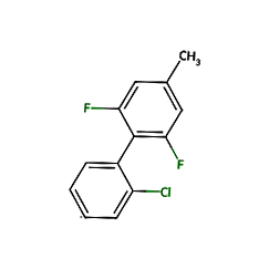 Cc1cc(F)c(-c2cc[c]cc2Cl)c(F)c1